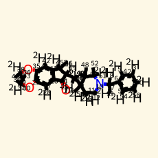 [2H]c1c([2H])c([2H])c(C([2H])(C)N2C([2H])([2H])C([2H])([2H])C(C)(C([2H])([2H])C3([2H])C(=O)c4c([2H])c(OC([2H])(C)C)c(OC([2H])(C)C)c([2H])c4C3([2H])C)C(C)(C)C2([2H])C)c([2H])c1[2H]